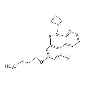 O=C(O)CCCOc1cc(F)c(-c2cccnc2SC2CCC2)c(F)c1